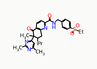 CCS(=O)(=O)c1ccc(CNC(=O)c2ccc3c(n2)CC(C(C)C)C(C)(c2cc(C)nc(C)n2)C3=O)cc1